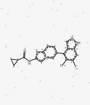 O=C(Nc1cn2cc(-c3c(Cl)c(F)cc4[nH]ncc34)ccc2n1)C1CC1